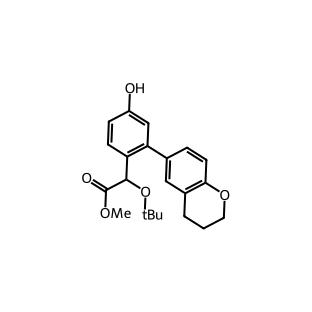 COC(=O)C(OC(C)(C)C)c1ccc(O)cc1-c1ccc2c(c1)CCCO2